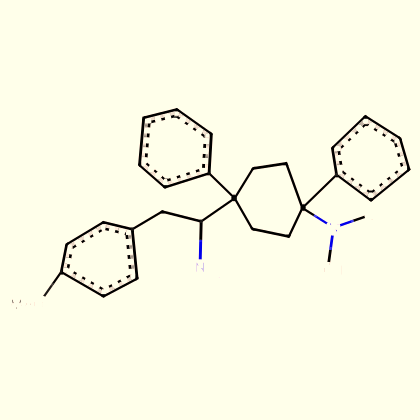 COc1ccc(CC(N)C2(c3ccccc3)CCC(c3ccccc3)(N(C)C)CC2)cc1